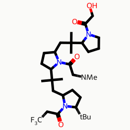 CNCC(=O)N1C(CC(C)(C)C2CCCN2C(=O)CO)CCC1C(C)(C)CC1CCC(C(C)(C)C)N1C(=O)CC(F)(F)F